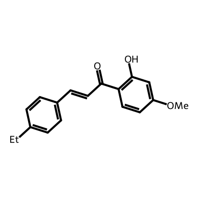 CCc1ccc(C=CC(=O)c2ccc(OC)cc2O)cc1